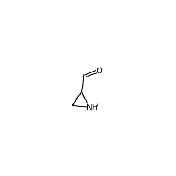 O=CC1CN1